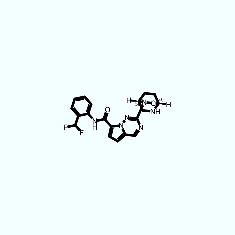 O=C(Nc1ccccc1C(F)F)c1ccc2cnc(N3C[C@@H]4CC[C@H]3CN4)nn12